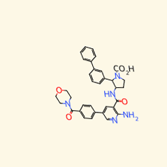 Nc1ncc(-c2ccc(C(=O)N3CCOCC3)cc2)cc1C(=O)NC1CCN(C(=O)O)C1c1cccc(-c2ccccc2)c1